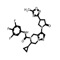 Cc1nc(C2CC(=O)N(c3cnn4c3CN(C(=O)Nc3cc(F)c(F)c(F)c3)C(C3CC3)C4)C2)no1